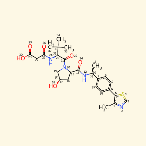 Cc1ncsc1-c1ccc([C@H](C)NC(=O)C2C[C@@H](O)CN2C(=O)[C@@H](NC(=O)CC(=O)O)C(C)(C)C)cc1